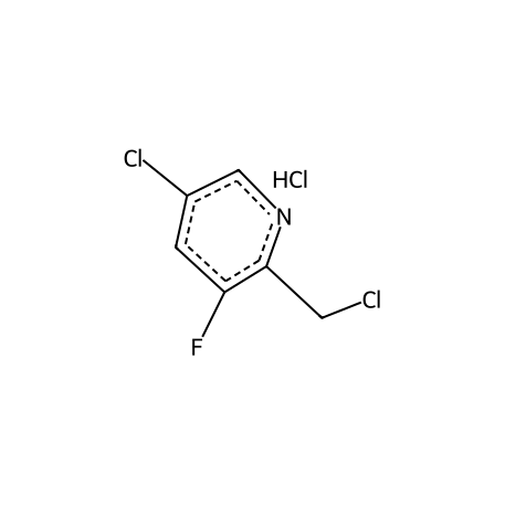 Cl.Fc1cc(Cl)cnc1CCl